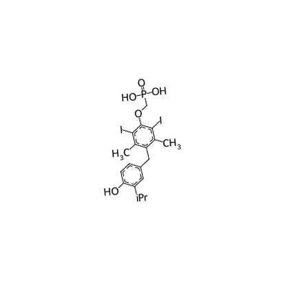 Cc1c(I)c(OCP(=O)(O)O)c(I)c(C)c1Cc1ccc(O)c(C(C)C)c1